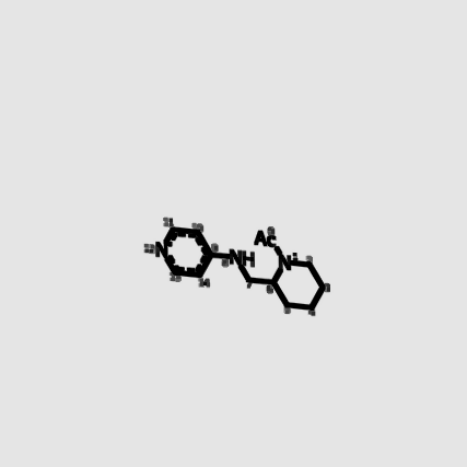 CC(=O)N1CCCCC1CNc1ccncc1